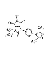 CCOC(=O)C1(C)N[C@H](c2ccc(-c3c(C)noc3C)cc2)C2C(=O)N(CC)C(=O)C21